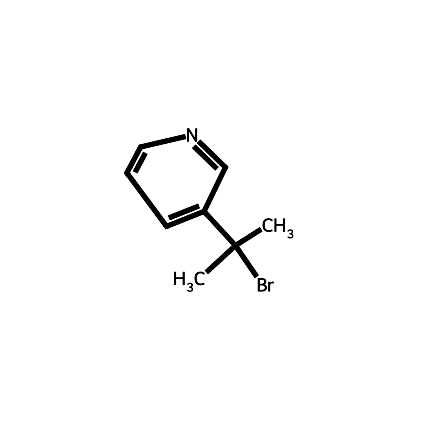 CC(C)(Br)c1cccnc1